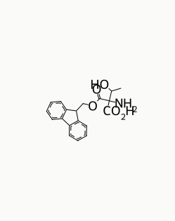 CC(O)C(N)(C(=O)O)C(=O)OCC1c2ccccc2-c2ccccc21